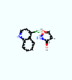 Clc1ccnc2ccccc12.O=c1cco[nH]1